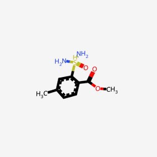 COC(=O)c1ccc(C)cc1[SH](N)(N)=O